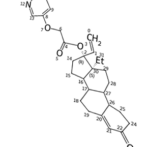 C=C[C@]1(OC(=O)COc2cccnc2)CCC2C3CCC4=CC(=O)CCC4C3CC[C@@]21CC